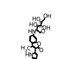 Cc1c(-c2ccc[nH]2)c(=O)oc2cc(N[C@@H](C=O)[C@@H](O)[C@H](O)[C@H](O)CO)ccc12